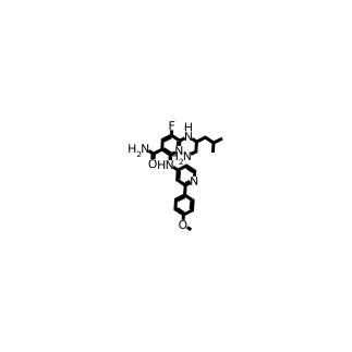 COc1ccc(-c2cc(Nc3nc(NC(CN)CC(C)C)c(F)cc3C(N)=O)ccn2)cc1